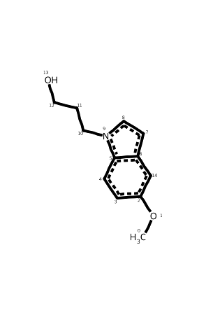 COc1ccc2c(ccn2CCCO)c1